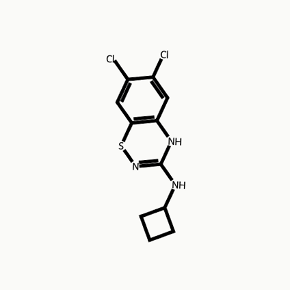 Clc1cc2c(cc1Cl)SN=C(NC1CCC1)N2